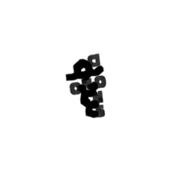 CCc1ccc(Cl)c(CC)c1N1C(=O)c2cc3c(nc2C1=O)SCC3